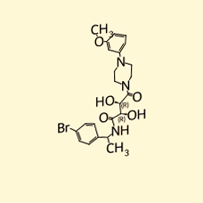 COc1cccc(N2CCN(C(=O)[C@H](O)[C@@H](O)C(=O)NC(C)c3ccc(Br)cc3)CC2)c1